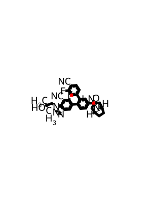 CC(C)(O)Cn1nnc2cc(-c3ccc(C(=O)N4[C@@H]5CC[C@H]4C[C@@H](N)C5)cc3-c3ccc(C#N)c(F)c3)c(F)c(C#N)c21